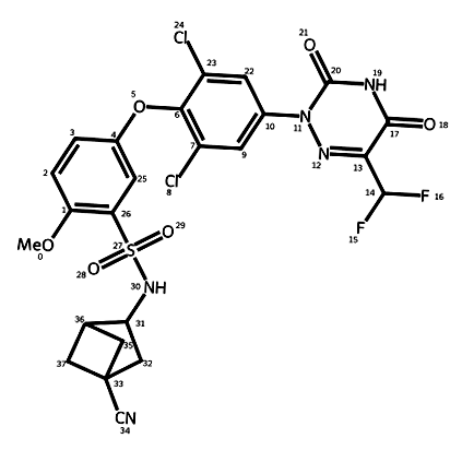 COc1ccc(Oc2c(Cl)cc(-n3nc(C(F)F)c(=O)[nH]c3=O)cc2Cl)cc1S(=O)(=O)NC1CC2(C#N)CC1C2